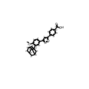 COc1ccc(-c2cc(-c3ccc(C(=O)O)cc3)on2)cc1C12CC3CC(CC(C3)C1)C2